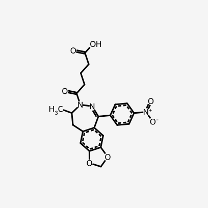 CC1Cc2cc3c(cc2C(c2ccc([N+](=O)[O-])cc2)=NN1C(=O)CCCC(=O)O)OCO3